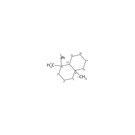 CC(C)C1(C)CCCC2(C)CCCCC21